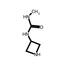 CNC(=O)NC1CNC1